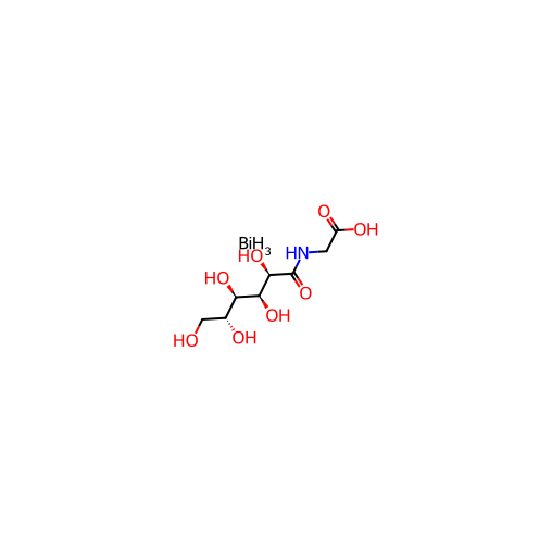 O=C(O)CNC(=O)[C@H](O)[C@@H](O)[C@H](O)[C@H](O)CO.[BiH3]